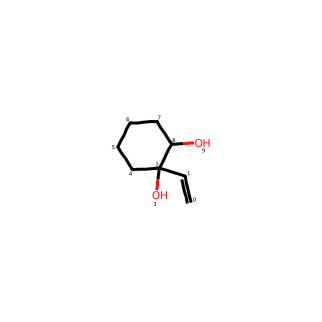 C=CC1(O)CCCCC1O